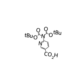 CC(C)(C)OC(=O)N(C(=O)OC(C)(C)C)c1ccc(C(=O)O)cn1